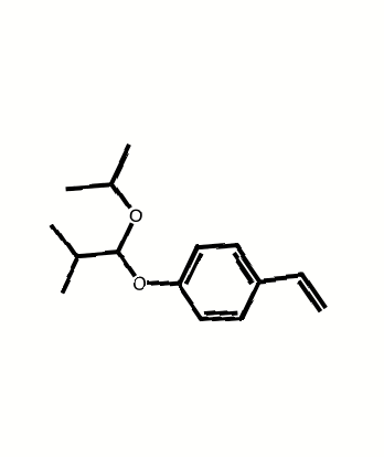 C=Cc1ccc(OC(OC(C)C)C(C)C)cc1